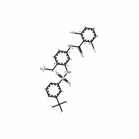 CC(C)(C)c1cccc(S(=O)(=O)Nc2cc(NC(=O)c3c(F)cccc3F)ccc2CN)c1